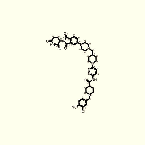 N#Cc1ccc(CN2CCC(C(=O)Nc3ccc(N4CCC(CN5CCN(c6ccc7c(c6)C(=O)N(C6CCC(=O)NC6=O)C7=O)CC5)CC4)nn3)CC2)cc1Cl